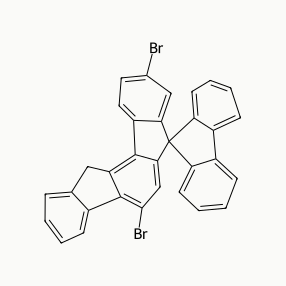 Brc1ccc2c(c1)C1(c3ccccc3-c3ccccc31)c1cc(Br)c3c(c1-2)Cc1ccccc1-3